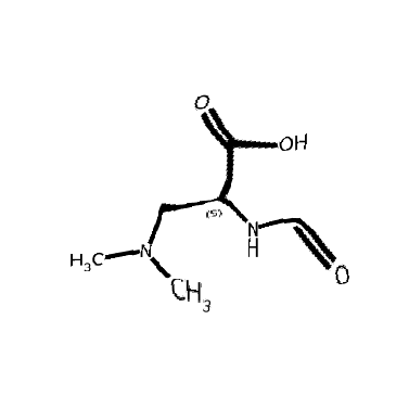 CN(C)C[C@H](NC=O)C(=O)O